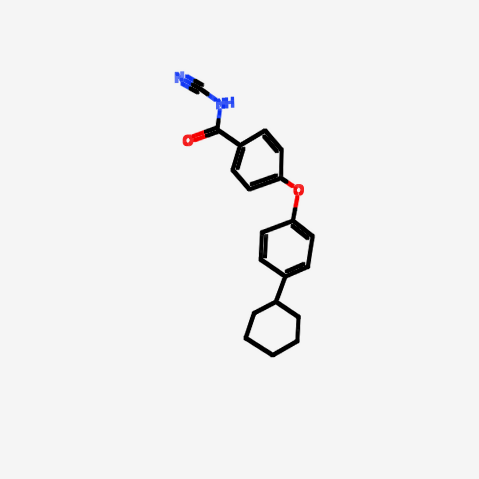 N#CNC(=O)c1ccc(Oc2ccc(C3CCCCC3)cc2)cc1